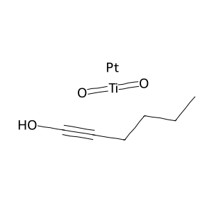 CCCCC#CO.[O]=[Ti]=[O].[Pt]